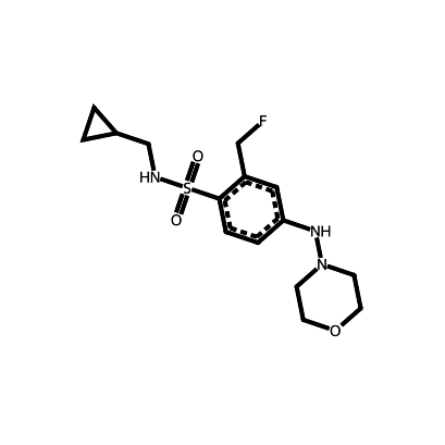 O=S(=O)(NCC1CC1)c1ccc(NN2CCOCC2)cc1CF